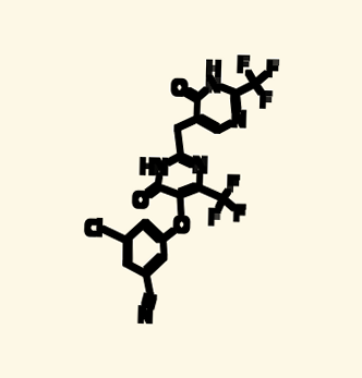 N#Cc1cc(Cl)cc(Oc2c(C(F)(F)F)nc(Cc3cnc(C(F)(F)F)[nH]c3=O)[nH]c2=O)c1